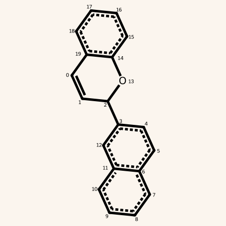 C1=CC(c2ccc3ccccc3c2)Oc2ccccc21